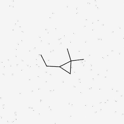 [CH2]CC1CC1(C)C